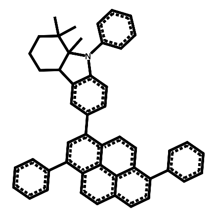 CC1(C)CCCC2c3cc(-c4cc(-c5ccccc5)c5ccc6ccc(-c7ccccc7)c7ccc4c5c67)ccc3N(c3ccccc3)C21C